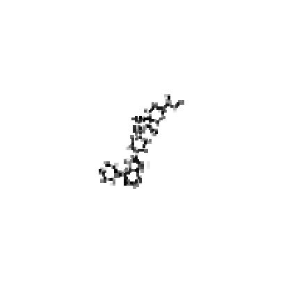 C=CC(=O)N1CCC(N)(C(=O)Nc2ccc(-c3cc4c(N5CCOCC5)ncnc4[nH]3)cc2)CC1